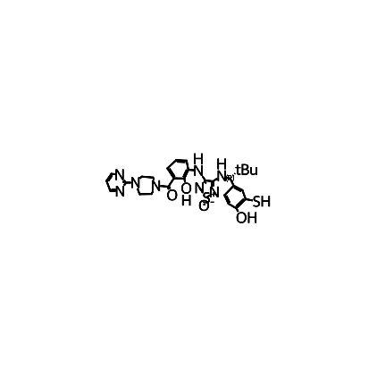 CC(C)(C)[C@@H](Nc1n[s+]([O-])nc1Nc1cccc(C(=O)N2CCN(c3ncccn3)CC2)c1O)c1ccc(O)c(S)c1